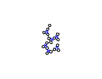 c1ccc(-c2ccc(-n3c4ccccc4c4cc(-c5ccc6c7c(-c8cccc(-n9c%10ccccc%10c%10cc(-n%11c%12ccccc%12c%12ccc(-c%13ccc%14c(c%13)c%13ccccc%13n%14-c%13ccccc%13)cc%12%11)ccc%109)c8)cccc7n(-c7ccc8c(c7)c7ccccc7n8-c7ccccc7)c6c5)ccc43)cc2)cc1